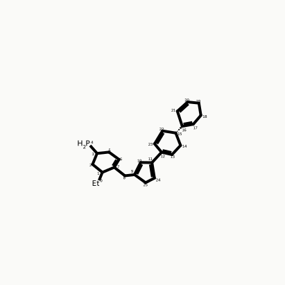 CCC1CC(P)CC=C1CC1=CC(C2=CC[C@@H](C3=CCCC=C3)C=C2)=CC1